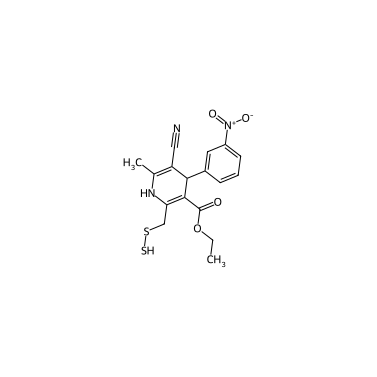 CCOC(=O)C1=C(CSS)NC(C)=C(C#N)C1c1cccc([N+](=O)[O-])c1